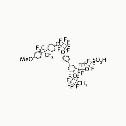 COc1ccc(C(c2ccc(OC3(F)C(F)(F)C(F)(F)C3(F)Oc3ccc(-c4ccc(OC5(F)C(C)(F)C(F)(F)C5(F)F)c(C(F)(F)C(F)(F)OC(F)(F)C(F)(F)S(=O)(=O)O)c4)cc3)cc2)(C(F)(F)F)C(F)(F)F)cc1